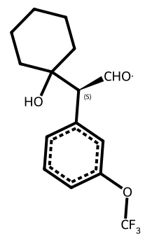 O=[C][C@@H](c1cccc(OC(F)(F)F)c1)C1(O)CCCCC1